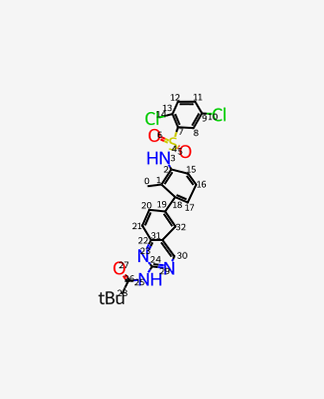 Cc1c(NS(=O)(=O)c2cc(Cl)ccc2Cl)cccc1-c1ccc2nc(NC(=O)C(C)(C)C)ncc2c1